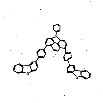 c1ccc(-n2c3ccc(-c4ccc(-c5ccc6sc7ccccc7c6c5)cc4)c4ccc5c(-c6ccc(-c7ccc8sc9ccccc9c8c7)cc6)ccc2c5c43)cc1